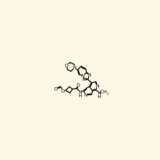 CNc1ncc(-c2nc3ccc(N4CCOCC4)cn3n2)c2cc(NC(=O)C3CC(OC=O)C3)ncc12